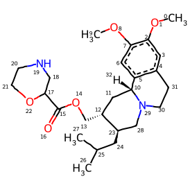 COc1cc2c(cc1OC)[C@H]1C[C@@H](COC(=O)C3CNCCO3)[C@H](CC(C)C)CN1CC2